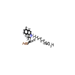 Br.CC1N(CCCCCCCCCCS(=O)(=O)O)c2ccc3ccccc3c2C1(C)C.[NaH]